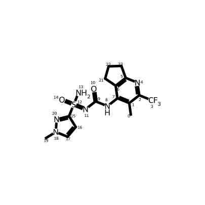 Cc1c(C(F)(F)F)nc2c(c1NC(=O)N=S(N)(=O)c1ccn(C)n1)CCC2